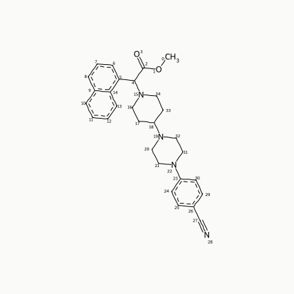 COC(=O)C(c1cccc2ccccc12)N1CCC(N2CCN(c3ccc(C#N)cc3)CC2)CC1